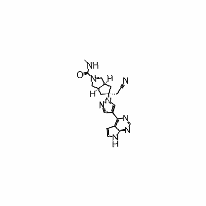 CNC(=O)N1C[C@@H]2C[C@](CC#N)(n3cc(-c4ncnc5[nH]ccc45)cn3)C[C@@H]2C1